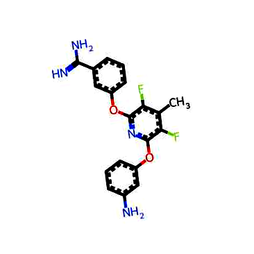 Cc1c(F)c(Oc2cccc(N)c2)nc(Oc2cccc(C(=N)N)c2)c1F